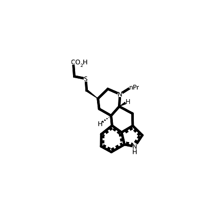 CCCN1C[C@H](CSCC(=O)O)C[C@@H]2c3cccc4[nH]cc(c34)C[C@H]21